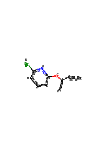 C=C(Oc1cccc(Br)n1)C(=O)OCC